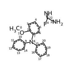 COc1ccccc1N(c1ccccc1)c1ccccc1.N=C(N)F